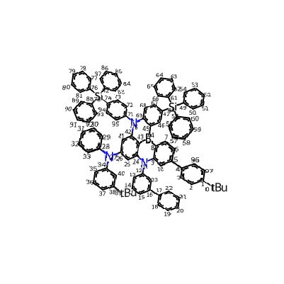 CC(C)(C)c1ccc(-c2ccc3c(c2)N(c2cccc(-c4ccccc4)c2)c2cc(N(c4ccccc4)c4cccc(C(C)(C)C)c4)cc4c2B3c2cc([Si](c3ccccc3)(c3ccccc3)c3ccccc3)ccc2N4c2ccc([Si](c3ccccc3)(c3ccccc3)c3ccccc3)cc2)cc1